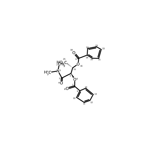 CN(C)C(=O)[C@H](OC(=O)c1ccccc1)[C@@H](OC(=O)c1ccccc1)C(=O)O